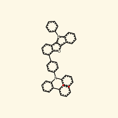 c1ccc(-c2ccccc2N(c2ccccc2)c2ccc(-c3cccc4c3oc3c5ccccc5n(-c5ccccc5)c43)cc2)cc1